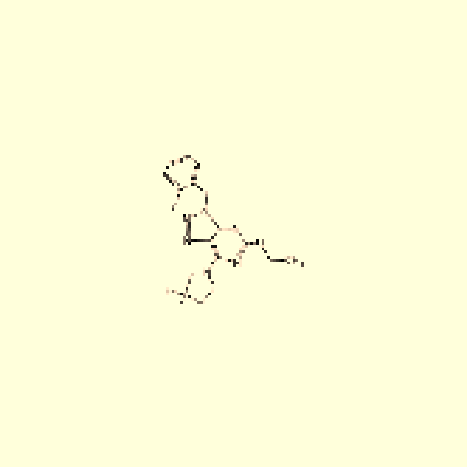 CCOc1nc(N2CCC(F)(F)C2)c2nnn(Cc3ccccc3Cl)c2n1